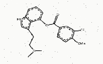 COc1ccc(C(=O)Oc2cccc3[nH]cc(CCN(C)C)c23)cc1C(F)(F)F